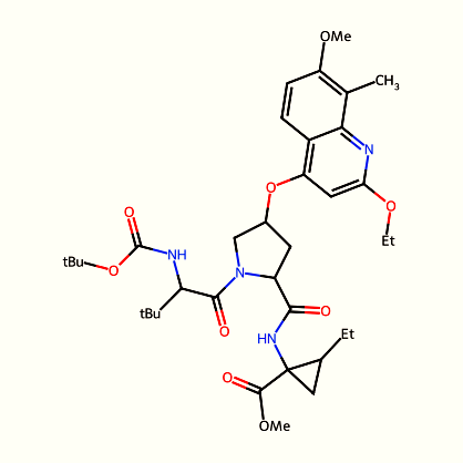 CCOc1cc(OC2CC(C(=O)NC3(C(=O)OC)CC3CC)N(C(=O)C(NC(=O)OC(C)(C)C)C(C)(C)C)C2)c2ccc(OC)c(C)c2n1